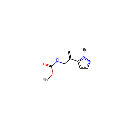 C=C(CNC(=O)OC(C)(C)C)c1ccnn1CC